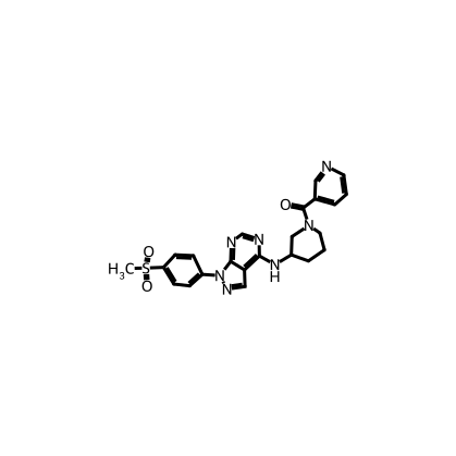 CS(=O)(=O)c1ccc(-n2ncc3c(NC4CCCN(C(=O)c5cccnc5)C4)ncnc32)cc1